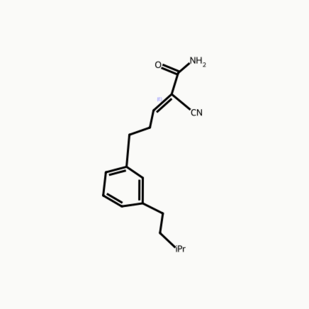 CC(C)CCc1cccc(CC/C=C(\C#N)C(N)=O)c1